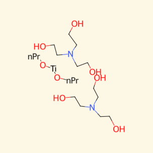 CCC[O][Ti][O]CCC.OCCN(CCO)CCO.OCCN(CCO)CCO